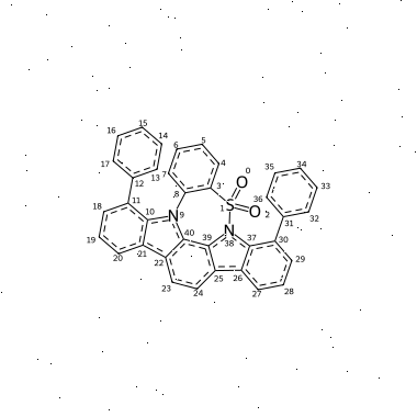 O=S1(=O)c2ccccc2-n2c3c(-c4ccccc4)cccc3c3ccc4c5cccc(-c6ccccc6)c5n1c4c32